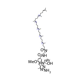 CCCC(CO)Nc1nc(N)nc(C)c1Cc1ccc(C(=O)NCCN(C)C(=O)CC/C(C)=C/CC/C(C)=C/CC/C(C)=C/CC/C=C(\C)CC/C=C(\C)CCC=C(C)C)cc1OC